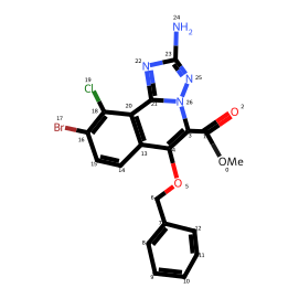 COC(=O)c1c(OCc2ccccc2)c2ccc(Br)c(Cl)c2c2nc(N)nn12